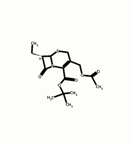 CC[C@H]1C(=O)N2C(C(=O)OC(C)(C)C)=C(COC(C)=O)CSC12